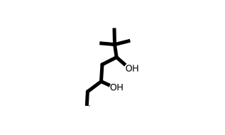 [CH2]CC(O)CC(O)C(C)(C)C